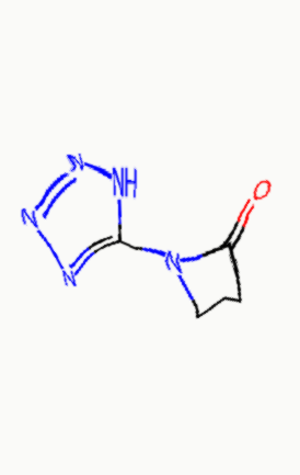 O=C1CCN1c1nnn[nH]1